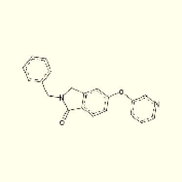 O=C1c2ccc(Oc3cccnc3)cc2CN1Cc1ccccc1